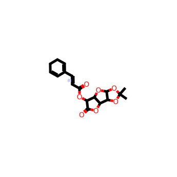 CC1(C)OC2OC3C(OC(=O)/C=C/C4=CCCC=C4)C(=O)OC3C2O1